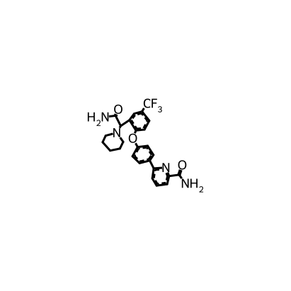 NC(=O)c1cccc(-c2ccc(Oc3ccc(C(F)(F)F)cc3C(C(N)=O)N3CCCCC3)cc2)n1